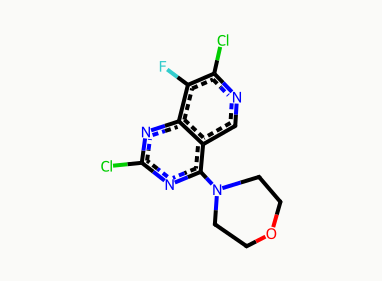 Fc1c(Cl)ncc2c(N3CCOCC3)nc(Cl)nc12